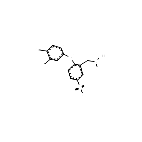 CN(C)Cc1cc(S(C)(=O)=O)ccc1Oc1ccc(Cl)c(Cl)c1